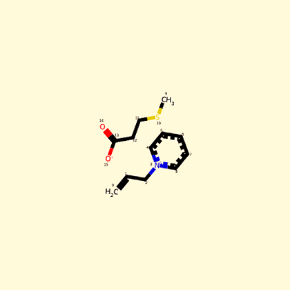 C=CC[n+]1ccccc1.CSCCC(=O)[O-]